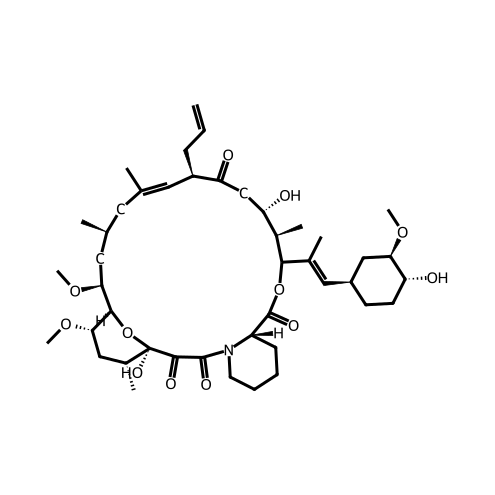 C=CC[C@@H]1/C=C(\C)C[C@H](C)C[C@H](OC)[C@H]2O[C@@](O)(C(=O)C(=O)N3CCCC[C@H]3C(=O)OC(/C(C)=C/[C@@H]3CC[C@@H](O)[C@H](OC)C3)[C@H](C)[C@@H](O)CC1=O)[C@H](C)C[C@@H]2OC